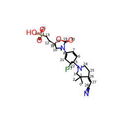 CC1(C)CN(c2ccc(N3C[C@@H](CCS(=O)(=O)O)OC3=O)cc2F)CCC1=CC#N